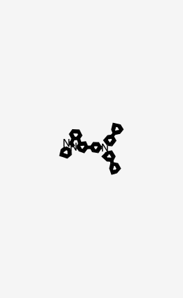 c1ccc(-c2ccc(N(c3ccc(-c4ccccc4)cc3)c3ccc(-c4ccc5c(c4)c4ccccc4c4nc6ccccc6n54)cc3)cc2)cc1